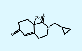 CCOC(=O)C12CCC(=O)C=C1CCN(CC1CC1)C2=O